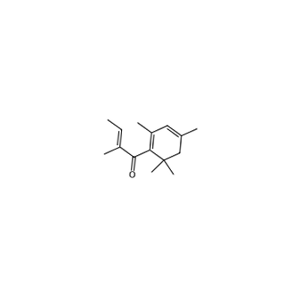 CC=C(C)C(=O)C1=C(C)C=C(C)CC1(C)C